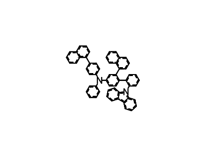 c1ccc(N(c2ccc(-c3cccc4ccccc34)cc2)c2ccc(-c3ccccc3-n3c4ccccc4c4ccccc43)c(-c3cccc4ccccc34)c2)cc1